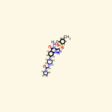 Cc1ccc(S(=O)(=O)c2nnn3c2[nH]c(=O)c2ccc(N4CCN(CC(=O)N5CCCC5)CC4)cc23)c(C)c1